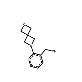 OCc1cccnc1N1CC2(COC2)C1